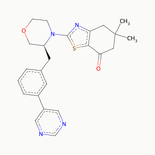 CC1(C)CC(=O)c2sc(N3CCOC[C@@H]3Cc3cccc(-c4cncnc4)c3)nc2C1